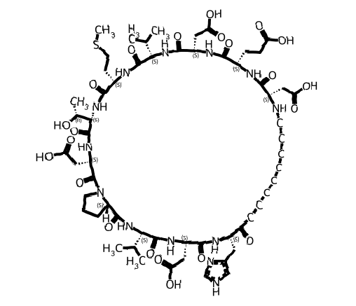 CSCC[C@@H]1NC(=O)[C@H](C(C)C)NC(=O)[C@H](CC(=O)O)NC(=O)[C@H](CCC(=O)O)NC(=O)[C@H](CC(=O)O)NCCCCCCCCC(=O)[C@H](Cc2c[nH]cn2)NC(=O)[C@H](CC(=O)O)NC(=O)[C@H](C(C)C)NC(=O)[C@@H]2CCCN2C(=O)[C@H](CC(=O)O)NC(=O)[C@H]([C@@H](C)O)NC1=O